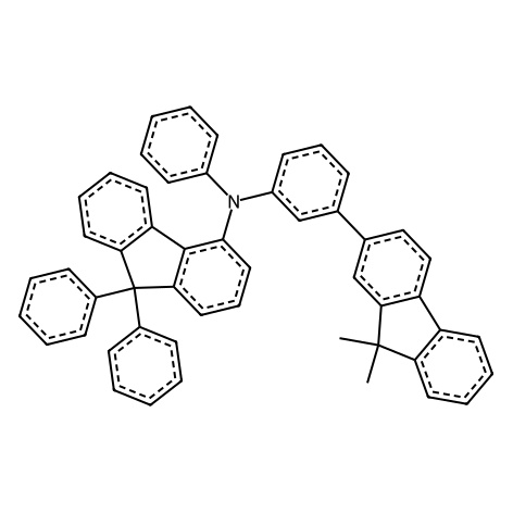 CC1(C)c2ccccc2-c2ccc(-c3cccc(N(c4ccccc4)c4cccc5c4-c4ccccc4C5(c4ccccc4)c4ccccc4)c3)cc21